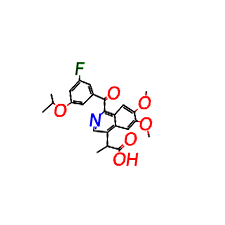 COc1cc2c(C(C)C(=O)O)cnc(C(=O)c3cc(F)cc(OC(C)C)c3)c2cc1OC